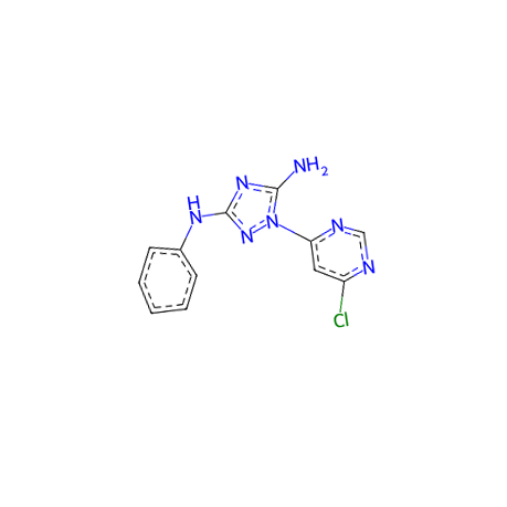 Nc1nc(Nc2ccccc2)nn1-c1cc(Cl)ncn1